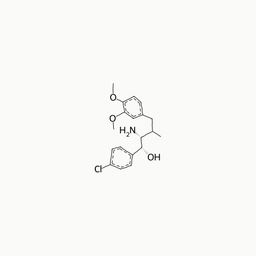 COc1ccc(CC(C)[C@@H](N)[C@H](O)c2ccc(Cl)cc2)cc1OC